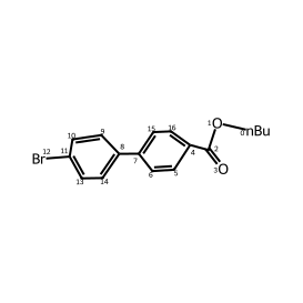 CCCCOC(=O)c1ccc(-c2ccc(Br)cc2)cc1